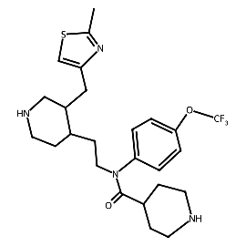 Cc1nc(CC2CNCCC2CCN(C(=O)C2CCNCC2)c2ccc(OC(F)(F)F)cc2)cs1